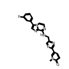 Cn1cc(-c2cnc(CNc3nccn4c(-c5cccc(F)c5)cnc34)cn2)ccc1=O